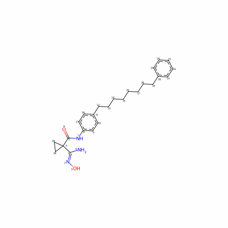 N/C(=N\O)C1(C(=O)Nc2ccc(CCCCCCCCc3ccccc3)cc2)CC1